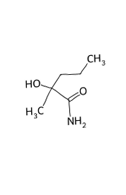 CCCC(C)(O)C(N)=O